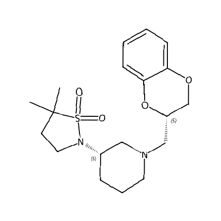 CC1(C)CCN([C@H]2CCCN(C[C@H]3COc4ccccc4O3)C2)S1(=O)=O